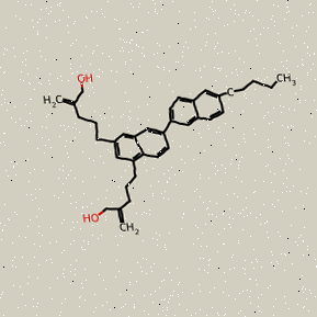 C=C(CO)CCCc1cc(CCCC(=C)CO)c2ccc(-c3ccc4cc(CCCCC)ccc4c3)cc2c1